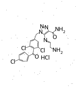 Cl.NCC=Nc1c(C(N)=O)nnn1Cc1cc(Cl)c(C(=O)c2ccc(Cl)cc2)c(Cl)c1